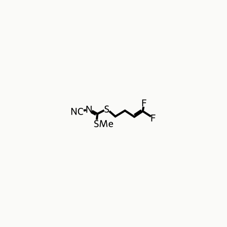 CS/C(=N\C#N)SCCC=C(F)F